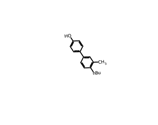 CCCCc1ccc(-c2ccc(O)cc2)cc1C